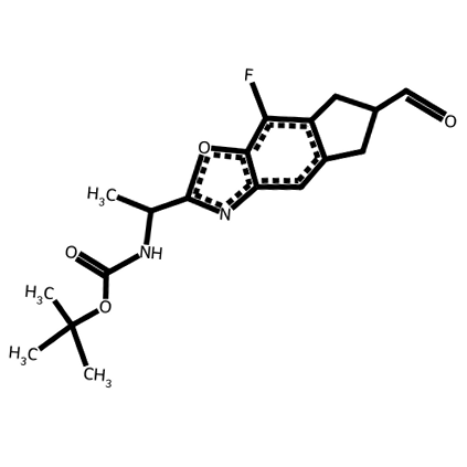 CC(NC(=O)OC(C)(C)C)c1nc2cc3c(c(F)c2o1)CC(C=O)C3